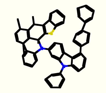 CC1C=CC2(C)C3=C1C(C)c1c(sc4ccccc14)C3(C)N(c1ccc3c4c(-c5ccc(-c6ccccc6)cc5)cccc4n(-c4ccccc4)c3c1)c1ccccc12